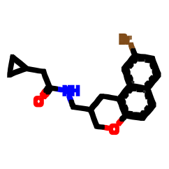 O=C(CC1CC1)NCC1COc2ccc3ccc(Br)cc3c2C1